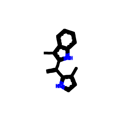 C=C(c1[nH]ccc1C)c1[nH]c2ccccc2c1C